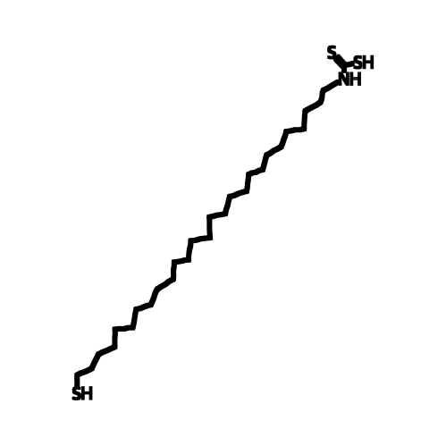 S=C(S)NCCCCCCCCCCCCCCCCCCCCCCCCCCCS